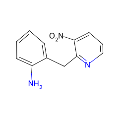 Nc1ccccc1Cc1ncccc1[N+](=O)[O-]